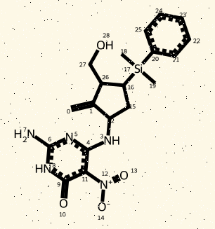 C=C1C(Nc2nc(N)[nH]c(=O)c2[N+](=O)[O-])CC([Si](C)(C)c2ccccc2)C1CO